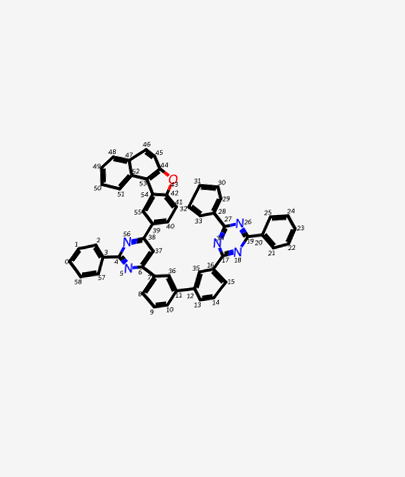 c1ccc(-c2nc(-c3cccc(-c4cccc(-c5nc(-c6ccccc6)nc(-c6ccccc6)n5)c4)c3)cc(-c3ccc4oc5ccc6ccccc6c5c4c3)n2)cc1